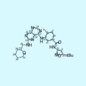 Cc1ccc(C(=O)Nc2cc(C(C)(C)C)on2)cc1Nc1ncnc2cnc(NCC3CCCCO3)nc12